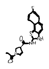 CC(=O)N1CC[C@H](C(=O)NC2Nc3ccc4cc(F)ccc4c3S2)C1